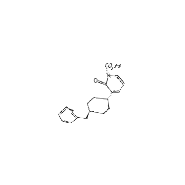 O=C(O)n1cccc([C@H]2CC[C@H](Cc3ccccc3)CC2)c1=O